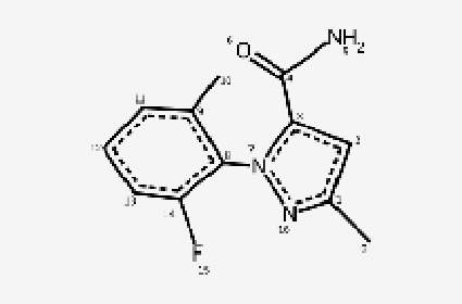 Cc1cc(C(N)=O)n(-c2c(C)cccc2F)n1